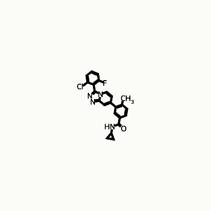 Cc1ccc(C(=O)NC2CC2)cc1-c1ccn2c(-c3c(F)cccc3Cl)nnc2c1